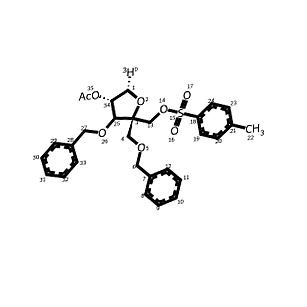 [3H][C@@H]1O[C@](COCc2ccccc2)(COS(=O)(=O)c2ccc(C)cc2)C(OCc2ccccc2)[C@@H]1OC(C)=O